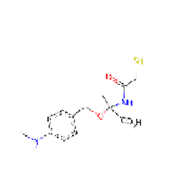 CN(C)c1ccc(COC(C)(NC(=O)CS)C(=O)O)cc1